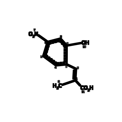 CC(=Cc1ccc([N+](=O)[O-])cc1O)C(=O)O